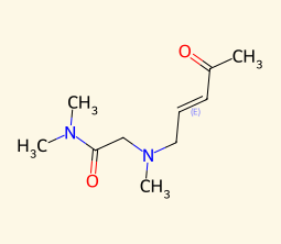 CC(=O)/C=C/CN(C)CC(=O)N(C)C